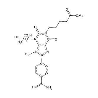 CC(=O)O.COC(=O)CCCCn1c(=O)c2nc(-c3ccc(C(=N)N)cc3)n(C)c2n(C)c1=O.Cl